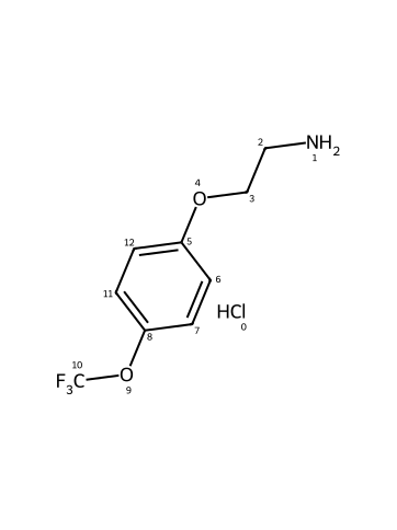 Cl.NCCOc1ccc(OC(F)(F)F)cc1